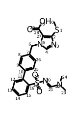 CSc1ncn(Cc2ccc(-c3ccccc3S(=O)(=O)N=CN(C)C)cc2)c1C(=O)O